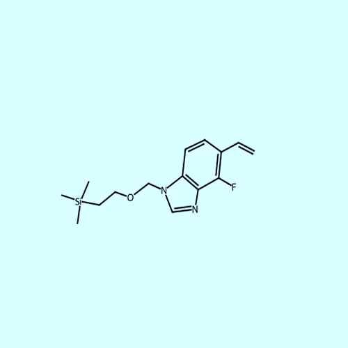 C=Cc1ccc2c(ncn2COCC[Si](C)(C)C)c1F